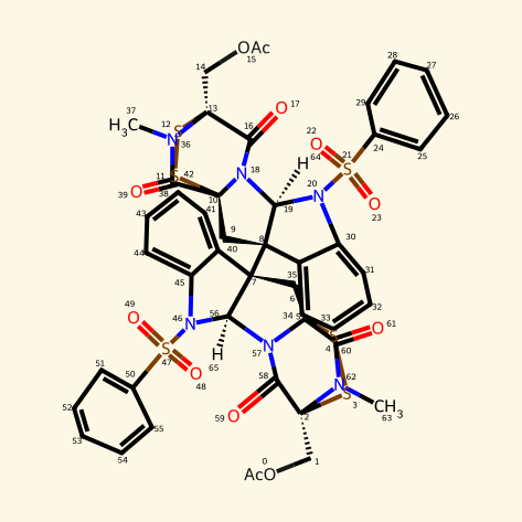 CC(=O)OC[C@]12SS[C@@]3(C[C@]4([C@]56C[C@@]78SS[C@@](COC(C)=O)(C(=O)N7[C@H]5N(S(=O)(=O)c5ccccc5)c5ccccc56)N(C)C8=O)c5ccccc5N(S(=O)(=O)c5ccccc5)[C@@H]4N3C1=O)C(=O)N2C